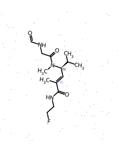 C/C(=C\[C@H](C(C)C)N(C)C(=O)CNC=O)C(=O)NCCF